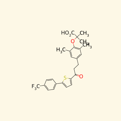 Cc1cc(CCC(=O)c2ccc(-c3ccc(C(F)(F)F)cc3)s2)cc(C)c1OC(C)(C)C(=O)O